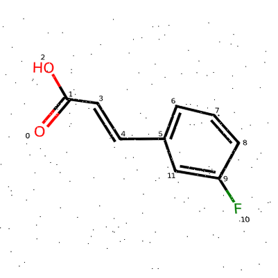 O=C(O)C=Cc1c[c]cc(F)c1